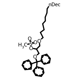 CCCCCCCCCCCCCCCCCCOCC(COC(c1ccccc1)(c1ccccc1)c1ccccc1)OS(C)(=O)=O